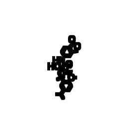 COc1ccc(C(C)C)cc1C(C)(C)CC(O)(C(=O)Nc1ccc2c(c1)COC2=O)C(F)(F)F